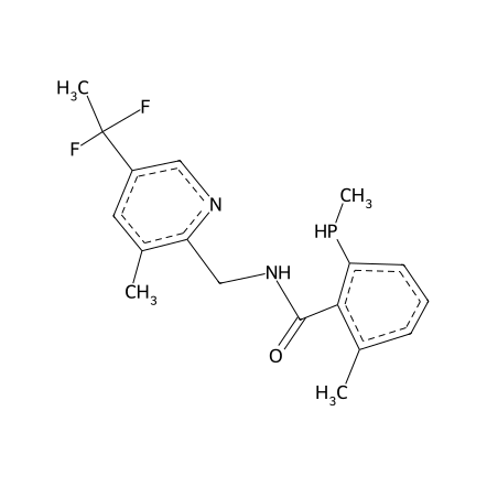 CPc1cccc(C)c1C(=O)NCc1ncc(C(C)(F)F)cc1C